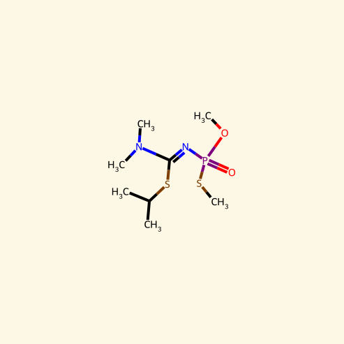 COP(=O)(N=C(SC(C)C)N(C)C)SC